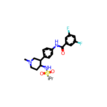 CC(C)S(=O)(=O)NC1CCN(C)CC1c1ccc(NC(=O)c2cc(F)cc(F)c2)cc1